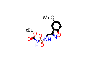 COc1ccc2onc(CNS(=O)(=O)NC(=O)OC(C)(C)C)c2c1